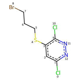 Clc1cc(SCCCBr)c(Cl)nn1